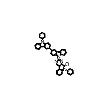 O=c1c2nc(-n3c4ccccc4c4cc(-c5ccc6c(c5)c5ccccc5n6-c5ccccc5)ccc43)ncc2c2ccccc2n1-c1ccccc1